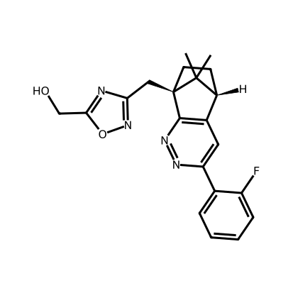 CC1(C)[C@@H]2CC[C@@]1(Cc1noc(CO)n1)c1nnc(-c3ccccc3F)cc12